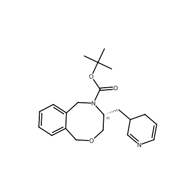 CC(C)(C)OC(=O)N1Cc2ccccc2COC[C@H]1CC1C=NC=CC1